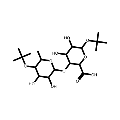 CC1OC(OC2C(C(=O)O)OC(OC(C)(C)C)C(O)C2O)C(O)C(O)C1OC(C)(C)C